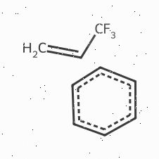 C=CC(F)(F)F.c1ccccc1